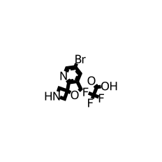 Brc1cnc2c(c1)COC21CNC1.O=C(O)C(F)(F)F